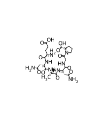 C[C@H](NC(=O)[C@H](CC(N)=O)NC(=O)[C@@H](N)CCC(=O)O)C(=O)N[C@@H](CC(N)=O)C(=O)NCC(=O)N1CCC[C@H]1C(=O)O